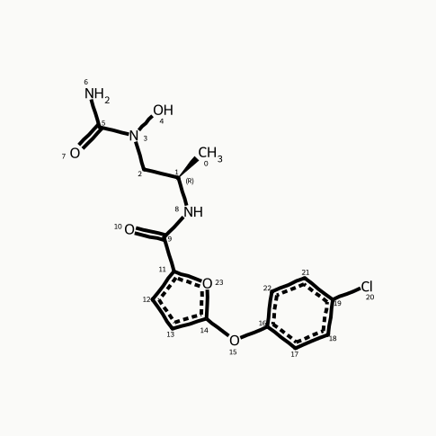 C[C@H](CN(O)C(N)=O)NC(=O)c1ccc(Oc2ccc(Cl)cc2)o1